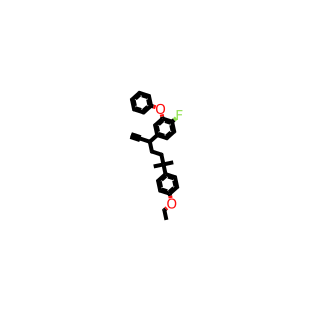 C#CC(CCC(C)(C)c1ccc(OCC)cc1)c1ccc(F)c(Oc2ccccc2)c1